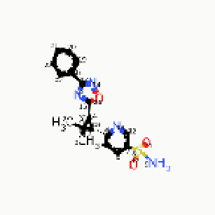 CC1(C)[C@@H](c2ccc(S(N)(=O)=O)cn2)[C@@H]1c1nc(-c2ccccc2)no1